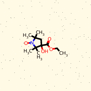 CCOC(=O)C1(O)CC(C)(C)N([O])C1(C)C